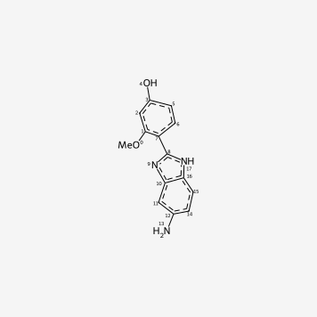 COc1cc(O)ccc1-c1nc2cc(N)ccc2[nH]1